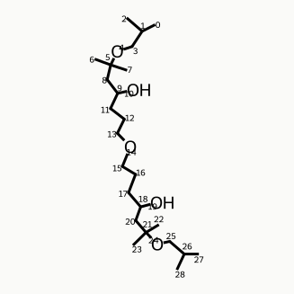 CC(C)COC(C)(C)CC(O)CCCOCCCC(O)CC(C)(C)OCC(C)C